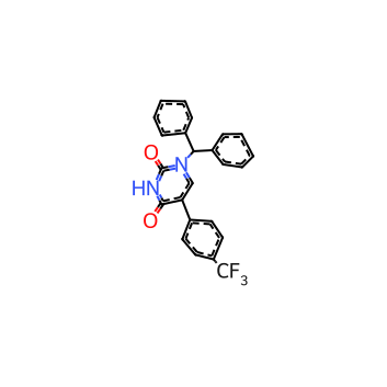 O=c1[nH]c(=O)n(C(c2ccccc2)c2ccccc2)cc1-c1ccc(C(F)(F)F)cc1